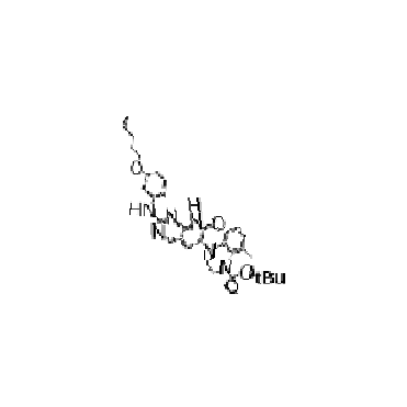 C=CCCCOc1cccc(Nc2ncc3cc(N4CCN(C(=O)OC(C)(C)C)c5c(C)cccc54)c(=O)[nH]c3n2)c1